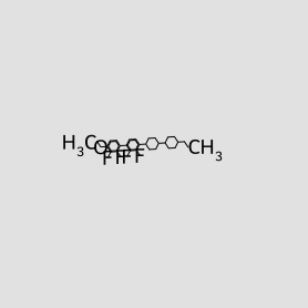 CCCC1CCC(C2CCC(c3ccc(-c4ccc(OCC)c(F)c4F)c(F)c3F)CC2)CC1